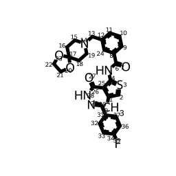 Cc1csc(NC(=O)c2cccc(CN3CCC4(CC3)OCCO4)c2)c1C(=O)NN=Cc1ccc(F)cc1